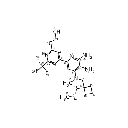 CCOc1cc(-c2cc(N(C)CC3(COC)CCC3)c(N)c(N)n2)cc(C(F)(F)F)n1